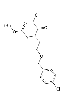 CC(C)(C)OC(=O)N[C@@H](CCOCc1ccc(Cl)cc1)C(=O)CCl